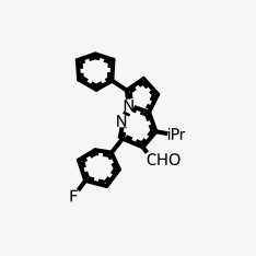 CC(C)c1c(C=O)c(-c2ccc(F)cc2)nn2c(-c3ccccc3)ccc12